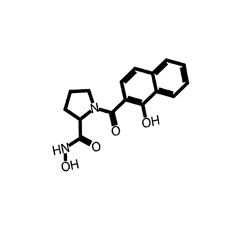 O=C(NO)C1CCCN1C(=O)c1ccc2ccccc2c1O